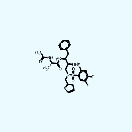 CC(=O)N[C@@H](C)C(=O)NC(Cc1ccccc1)C(O)CN(CC1CC=CS1)S(=O)(=O)c1cc(F)c(F)cc1F